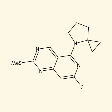 CSc1ncc2c(N3CCCC34CC4)nc(Cl)cc2n1